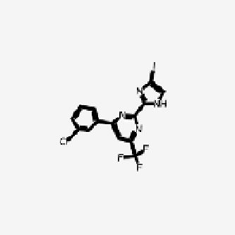 FC(F)(F)c1cc(-c2cccc(Cl)c2)nc(-c2nc(I)c[nH]2)n1